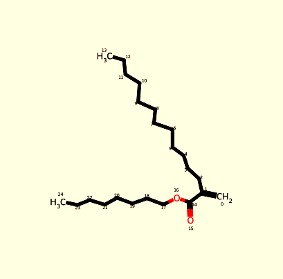 C=C(CCCCCCCCCCCC)C(=O)OCCCCCCCC